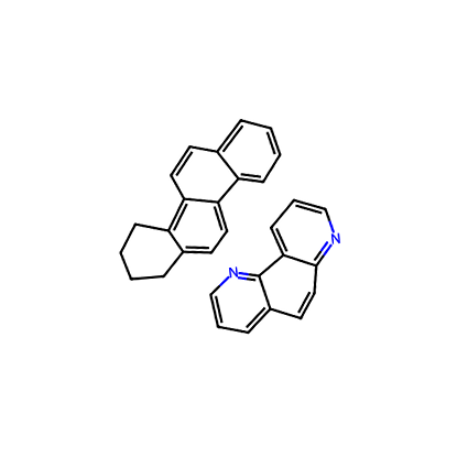 c1ccc2c(c1)ccc1c3c(ccc12)CCCC3.c1cnc2c(c1)ccc1ncccc12